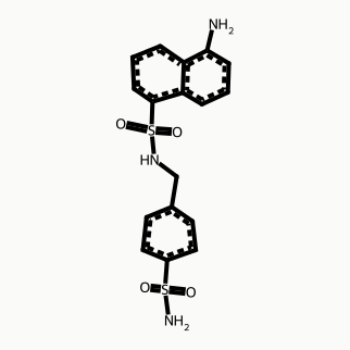 Nc1cccc2c(S(=O)(=O)NCc3ccc(S(N)(=O)=O)cc3)cccc12